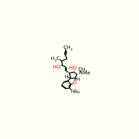 CC#CCC(C)[C@H](O)C=C[C@@H]1[C@H]2c3cccc(CCCC)c3O[C@H]2C[C@H]1O.CNC